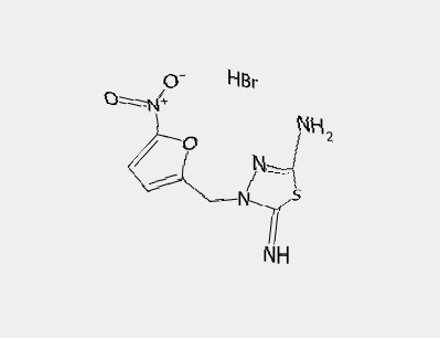 Br.N=c1sc(N)nn1Cc1ccc([N+](=O)[O-])o1